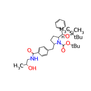 CC(O)CNC(=O)c1ccc(CC2CCC([C@H](O[Si](C)(C)C(C)(C)C)c3ccccc3)N2C(=O)OC(C)(C)C)cc1